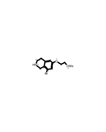 COCCOc1cc(Br)c2c(c1)CCNC2